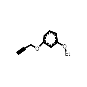 C#CCOc1cccc(OCC)c1